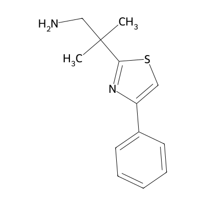 CC(C)(CN)c1nc(-c2ccccc2)cs1